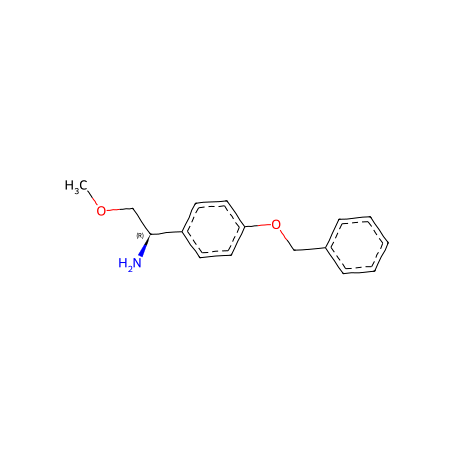 COC[C@H](N)c1ccc(OCc2ccccc2)cc1